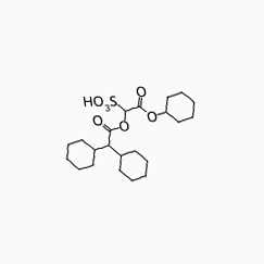 O=C(OC(C(=O)OC1CCCCC1)S(=O)(=O)O)C(C1CCCCC1)C1CCCCC1